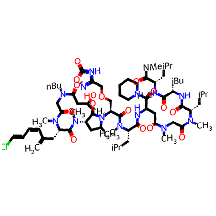 C=C(/C=C\C=C\Cl)C[C@@H](C(=O)N(C)[C@H]1CC(C)N([C@@H](COCc2noc(=O)[nH]2)C(=O)N(C)[C@@H](CC(C)C)C(=O)NC(CC(=O)N(C)CC(=O)N(C)[C@@H](CC(C)C)C(=O)N[C@H](C(=O)N(C)[C@@H](CC(C)C)C(=O)NC)C(C)CC)C(=O)N2CCCCC2)C1=O)N(C)C(=O)CN(CCCC)C(=O)CC(C)O